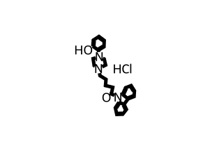 Cl.O=C(CCCCN1CCN(c2ccccc2O)CC1)n1c2ccccc2c2ccccc21